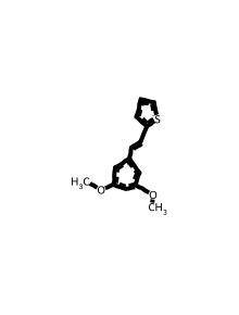 COc1cc(C=Cc2cccs2)cc(OC)c1